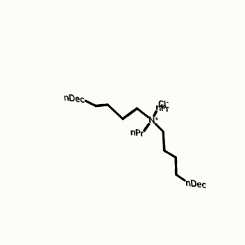 CCCCCCCCCCCCCC[N+](CCC)(CCC)CCCCCCCCCCCCCC.[Cl-]